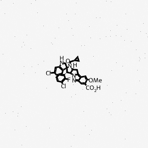 COc1cc2c3n(nc2cc1C(=O)O)C1[C@H](C3)N(CC2CC2)[C@@]2(C(=O)Nc3cc(Cl)ccc32)[C@H]1c1cccc(Cl)c1F